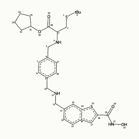 CC(C)(C)SCC(NCc1ccc(CNCc2ccc3cc(C(=O)NO)sc3c2)cc1)C(=O)OC1CCCC1